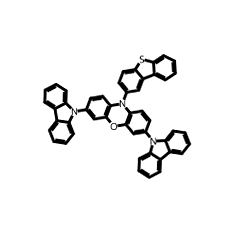 c1ccc2c(c1)sc1ccc(N3c4ccc(-n5c6ccccc6c6ccccc65)cc4Oc4cc(-n5c6ccccc6c6ccccc65)ccc43)cc12